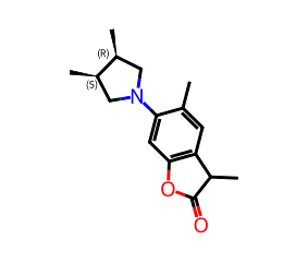 Cc1cc2c(cc1N1C[C@@H](C)[C@@H](C)C1)OC(=O)C2C